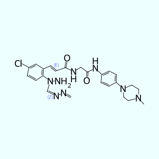 C=N/N=C\N(N)c1ccc(Cl)cc1/C=C/C(=O)NCC(=O)Nc1ccc(N2CCN(C)CC2)cc1